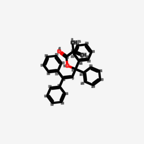 C=C(C)C(=O)OC(C=C(c1ccccc1)c1ccccc1)(c1ccccc1)c1ccccc1